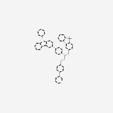 CC1(C)c2ccccc2-c2cc(CC(CCc3ccc(-c4cccnc4)cc3)c3ccc(-c4ccc5c(c4)c4ccccc4n5-c4ccccc4)cc3)ccc21